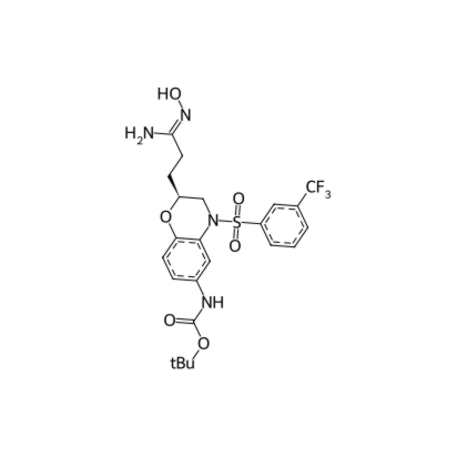 CC(C)(C)OC(=O)Nc1ccc2c(c1)N(S(=O)(=O)c1cccc(C(F)(F)F)c1)C[C@H](CC/C(N)=N/O)O2